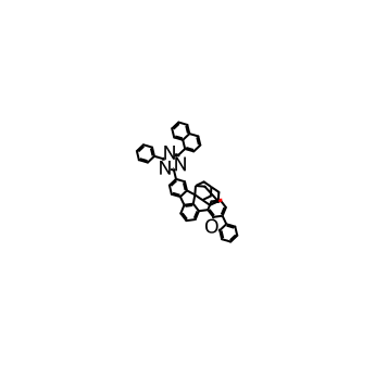 c1ccc(-c2nc(-c3ccc4c(c3)C3(c5c-4cccc5-c4cccc5c4oc4ccccc45)C4CC5CC(C4)CC3C5)nc(-c3cccc4ccccc34)n2)cc1